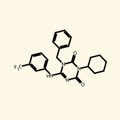 O=c1nc(Nc2cccc(C(F)(F)F)c2)n(Cc2ccccc2)c(=O)n1C1CCCCC1